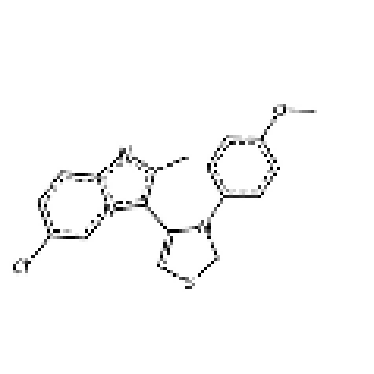 COc1ccc(N2CSC=C2c2c(C)nc3ccc(Cl)cn23)cc1